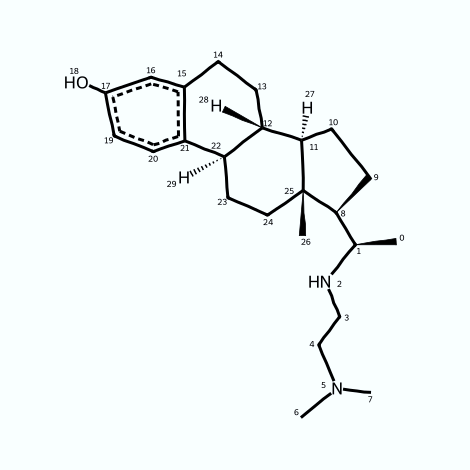 C[C@@H](NCCN(C)C)[C@@H]1CC[C@@H]2[C@H]3CCc4cc(O)ccc4[C@@H]3CC[C@]21C